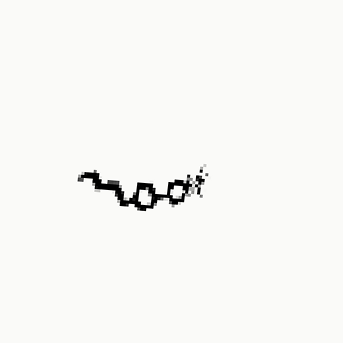 CCCCCC1CC=C(c2ccc(S(F)(F)(F)(F)F)cc2)CC1